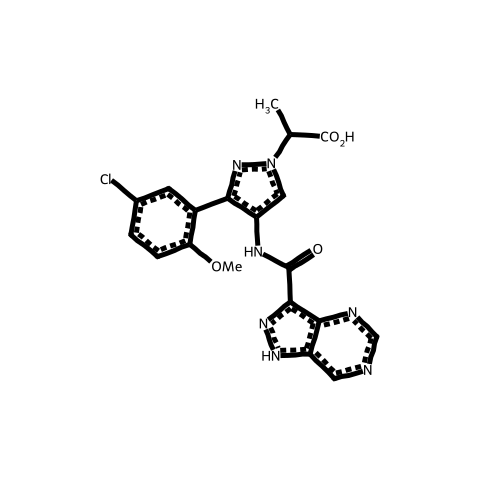 COc1ccc(Cl)cc1-c1nn(C(C)C(=O)O)cc1NC(=O)c1n[nH]c2cncnc12